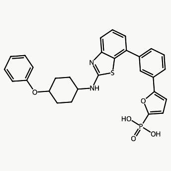 O=P(O)(O)c1ccc(-c2cccc(-c3cccc4nc(NC5CCC(Oc6ccccc6)CC5)sc34)c2)o1